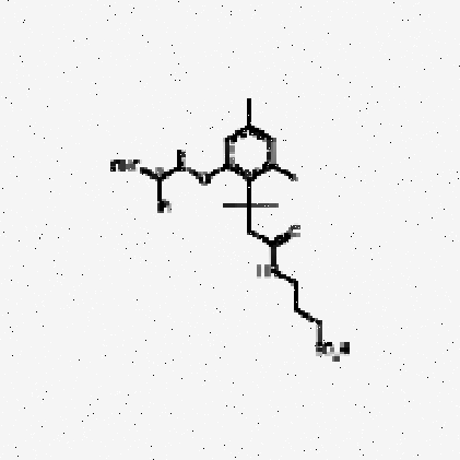 Cc1cc(C)c(C(C)(C)CC(=O)NCCCS(=O)(=O)O)c(ON[C@H](C=O)C(C)C)c1